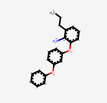 CCCc1cccc(Oc2cccc(Oc3ccccc3)c2)c1N